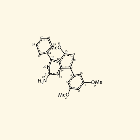 COc1cc(OC)cc(-c2ccc(OC)c3c(-c4ccccc4)nc(N)nc23)c1